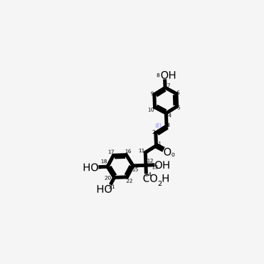 O=C(/C=C/c1ccc(O)cc1)CC(O)(C(=O)O)c1ccc(O)c(O)c1